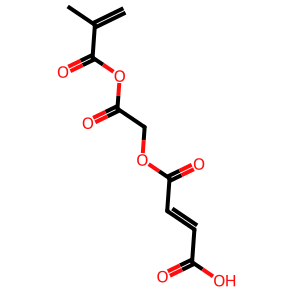 C=C(C)C(=O)OC(=O)COC(=O)C=CC(=O)O